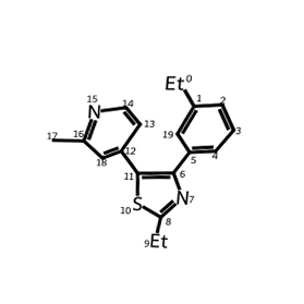 CCc1cccc(-c2nc(CC)sc2-c2ccnc(C)c2)c1